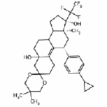 CC1(C)COC2(CCC3=C4C(CCC3(O)C2)C2CC[C@@](O)(C(F)(F)C(F)(F)F)[C@@]2(C)C[C@@H]4c2ccc(C3CC3)cc2)OC1